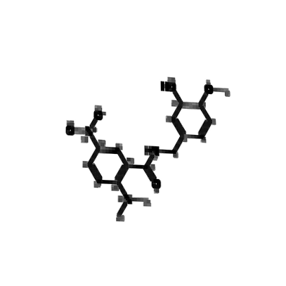 COc1ccc(CNC(=O)c2cc([N+](=O)[O-])ccc2N(C)C)cc1O